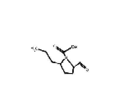 CCC[C@@H]1CC[C@H](C=O)N1C(=O)O